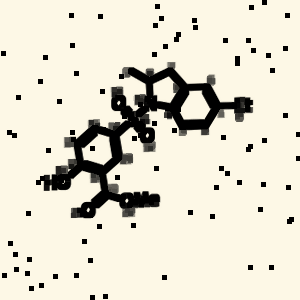 CCc1ccc2c(c1)CC(C)N2S(=O)(=O)c1ccc(O)c(C(=O)OC)c1